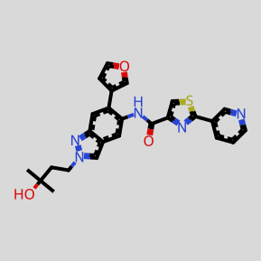 CC(C)(O)CCn1cc2cc(NC(=O)c3csc(-c4cccnc4)n3)c(-c3ccoc3)cc2n1